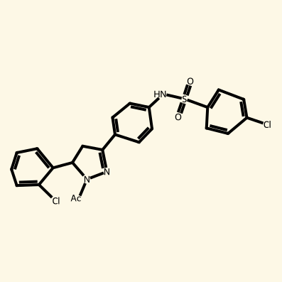 CC(=O)N1N=C(c2ccc(NS(=O)(=O)c3ccc(Cl)cc3)cc2)CC1c1ccccc1Cl